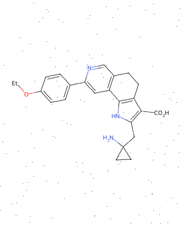 CCOc1ccc(-c2cc3c(cn2)CCc2c-3[nH]c(CC3(N)CC3)c2C(=O)O)cc1